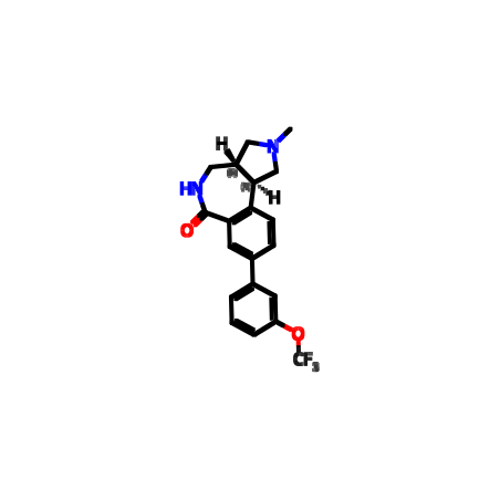 CN1C[C@H]2CNC(=O)c3cc(-c4cccc(OC(F)(F)F)c4)ccc3[C@@H]2C1